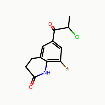 CC(Cl)C(=O)c1cc(Br)c2c(c1)CCC(=O)N2